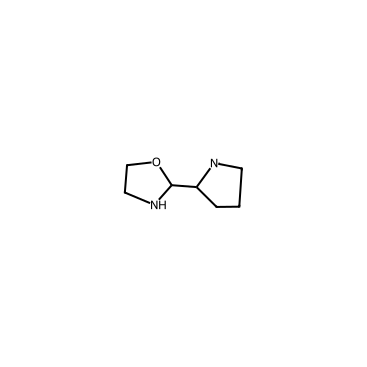 C1C[N]C(C2NCCO2)C1